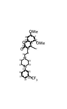 COc1cc(OC)c2c(C)c(CCN3CCN(c4cccc(C(F)(F)F)c4)CC3)c(=O)oc2c1